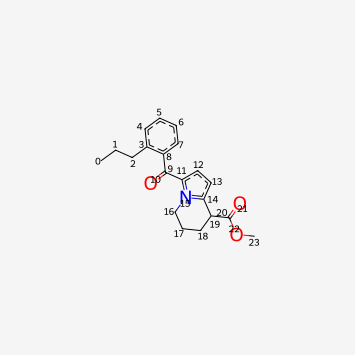 CCCc1ccccc1C(=O)c1ccc2n1CCCC2C(=O)OC